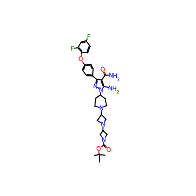 CC(C)(C)OC(=O)N1CC(N2CC(N3CCC(n4nc(-c5ccc(Oc6ccc(F)cc6F)cc5)c(C(N)=O)c4N)CC3)C2)C1